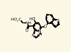 O=C(O)CNC(=O)c1c(O)cc(Oc2cccc3sccc23)n2ncnc12